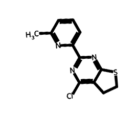 Cc1cccc(-c2nc(Cl)c3c(n2)SCC3)n1